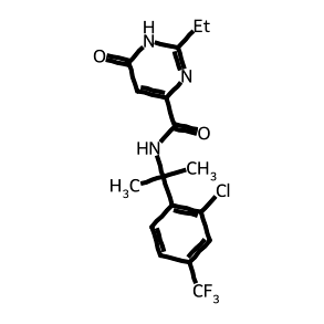 CCc1nc(C(=O)NC(C)(C)c2ccc(C(F)(F)F)cc2Cl)cc(=O)[nH]1